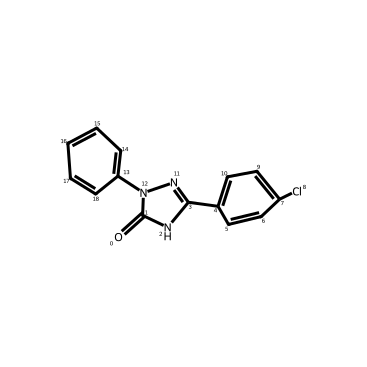 O=c1[nH]c(-c2ccc(Cl)cc2)nn1-c1ccccc1